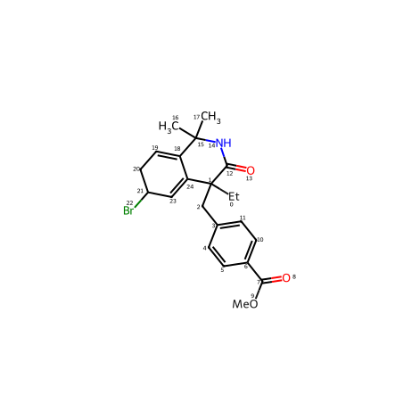 CCC1(Cc2ccc(C(=O)OC)cc2)C(=O)NC(C)(C)C2=CCC(Br)C=C21